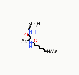 CNCCCCCC(=O)NC(CC(=O)NCCS(=O)(=O)O)C(C)=O